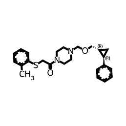 Cc1ccccc1SCC(=O)N1CCN(COC[C@@H]2C[C@H]2c2ccccc2)CC1